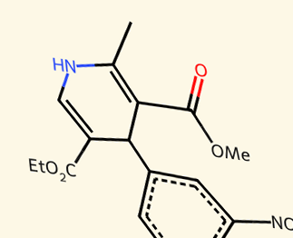 CCOC(=O)C1=CNC(C)=C(C(=O)OC)C1c1cccc([N+](=O)[O-])c1